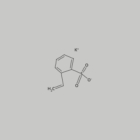 C=Cc1ccccc1S(=O)(=O)[O-].[K+]